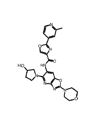 Cc1cc(-c2nc(C(=O)Nc3cc4oc(N5CCOCC5)nc4nc3N3CCC(O)C3)co2)ccn1